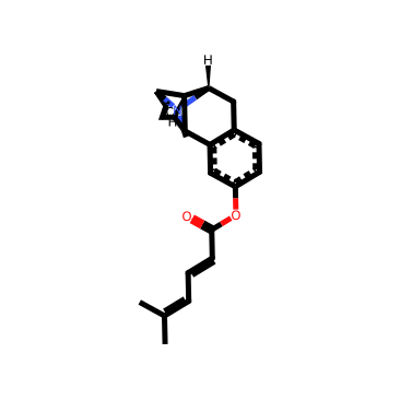 CC(C)=C/C=C/C(=O)Oc1ccc2c(c1)[C@@]13CCCC4(C1)[C@@H]3[C@H](C2)N4C